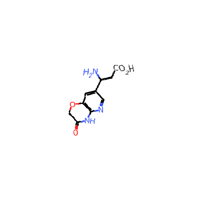 NC(CC(=O)O)c1cnc2c(c1)OCC(=O)N2